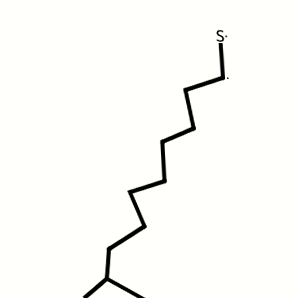 CC(C)CCCCCCC[CH][S]